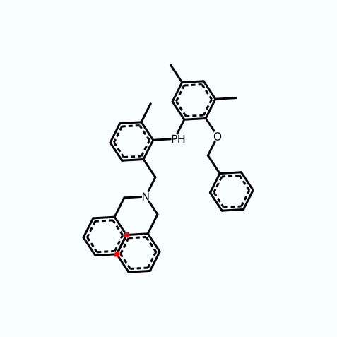 Cc1cc(C)c(OCc2ccccc2)c(Pc2c(C)cccc2CN(Cc2ccccc2)Cc2ccccc2)c1